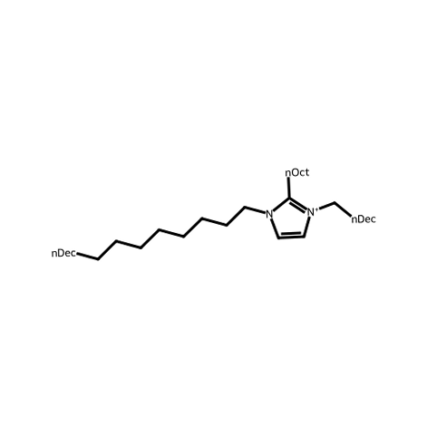 CCCCCCCCCCCCCCCCCCn1cc[n+](CCCCCCCCCCC)c1CCCCCCCC